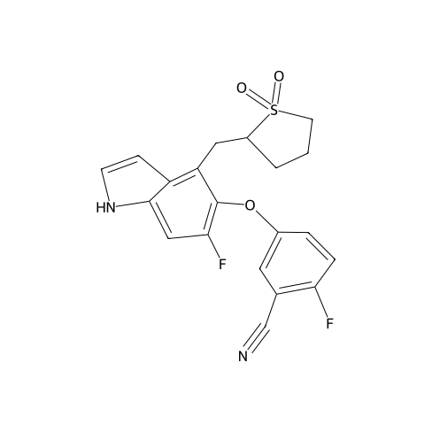 N#Cc1cc(Oc2c(F)cc3[nH]ccc3c2CC2CCCS2(=O)=O)ccc1F